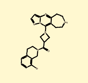 O=C(C1CN(c2c3c(nc4ccnn24)CCNCC3)C1)N1CCc2cccc(Br)c2C1